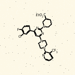 CCOC(=O)C1CCCN(c2nc(-c3ccc(F)c(Cl)c3)cc(N3CCN(c4ncccc4C(F)(F)F)CC3)n2)C1